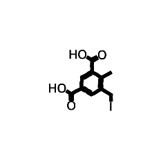 Cc1c(CI)cc(C(=O)O)cc1C(=O)O